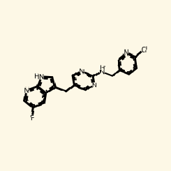 Fc1cnc2[nH]cc(Cc3cnc(NCc4ccc(Cl)nc4)nc3)c2c1